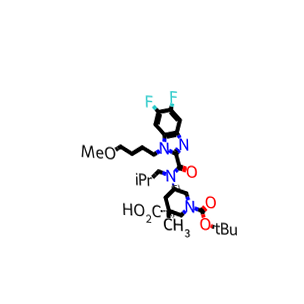 COCCCCn1c(C(=O)N(CC(C)C)[C@@H]2CN(C(=O)OC(C)(C)C)C[C@](C)(C(=O)O)C2)nc2cc(F)c(F)cc21